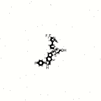 C[C@H]1C2=CNN(c3ccc(F)cc3)C2=CC2=C1[C@@H](CN(CCO)S(=O)(=O)c1ccc(-c3cc(C(F)(F)F)nn3C)s1)CC2